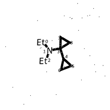 CCN(CC)C1(C2CC2)CC1